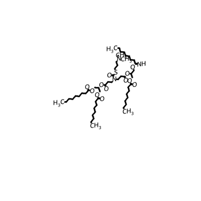 CCCCCCCCC(=N)OCC(COC(=O)CCCCCCCC)OC(=O)CCN(CCC(=O)OC(COC(=O)CCCCCCCC)COC(=O)CCCCCCCC)C(=O)SCCCN(C)C